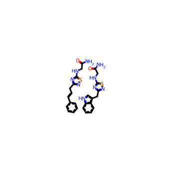 NC(=O)CNc1nc(C/C=C/c2ccccc2)ns1.NC(=O)CNc1nc(Cc2c[nH]c3ccccc23)ns1